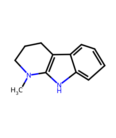 CN1CCCc2c1[nH]c1ccccc21